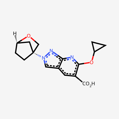 O=C(O)c1cc2cn([C@]34CC[C@H](C3)OC4)nc2nc1OC1CC1